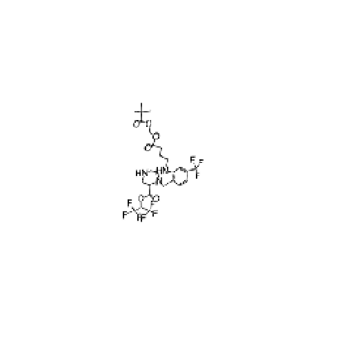 CC(C)(C)C(=O)OCOC(=O)CCCNc1cc(C(F)(F)F)ccc1CN1CCNCC1C(=O)OC(C(F)(F)F)C(F)(F)F